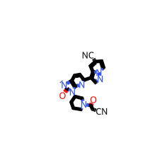 Cn1c(=O)n([C@H]2CCCN(C(=O)CC#N)C2)c2nc(-c3cnn4ccc(C#N)cc34)ccc21